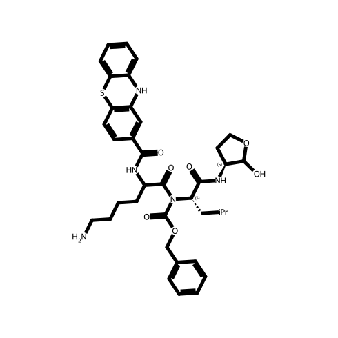 CC(C)C[C@@H](C(=O)N[C@H]1CCOC1O)N(C(=O)OCc1ccccc1)C(=O)C(CCCCN)NC(=O)c1ccc2c(c1)Nc1ccccc1S2